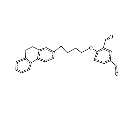 O=Cc1ccc(OCCCCc2ccc3c(c2)CCc2ccccc2-3)c(C=O)c1